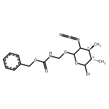 CCC1OC(OCNC(=O)OCc2ccccc2)C(N=[N+]=[N-])[C@@H](C)[C@@H]1C